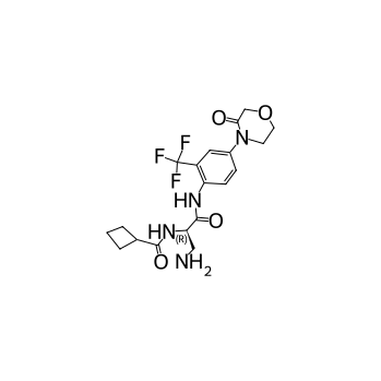 NC[C@@H](NC(=O)C1CCC1)C(=O)Nc1ccc(N2CCOCC2=O)cc1C(F)(F)F